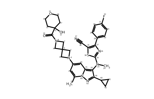 Cc1cc(N2CC3(CN(C(=O)C4(O)CCOCC4)C3)C2)cc2c(N(C)c3nc(-c4ccc(F)cc4)c(C#N)s3)c(C3CC3)nn12